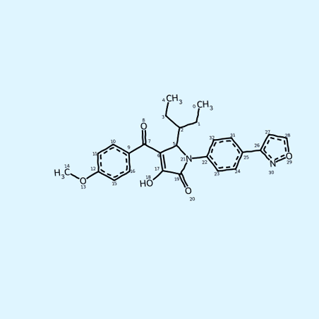 CCC(CC)C1C(C(=O)c2ccc(OC)cc2)=C(O)C(=O)N1c1ccc(-c2ccon2)cc1